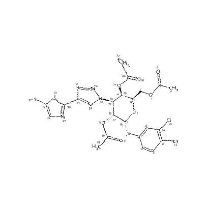 CC(=O)OC[C@H]1O[C@H](Sc2ccc(Cl)c(Cl)c2)[C@H](OC(C)=O)[C@@H](n2cc(-c3ncc(F)s3)nn2)[C@H]1OC(C)=O